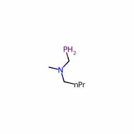 CCCCN(C)CP